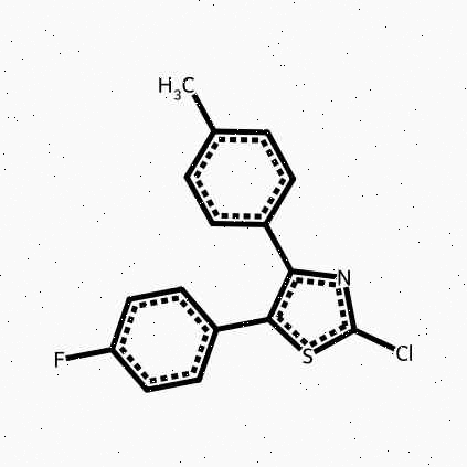 Cc1ccc(-c2nc(Cl)sc2-c2ccc(F)cc2)cc1